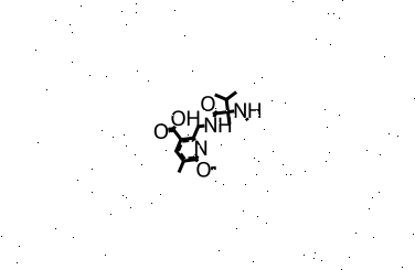 CNC(C)(C(=O)NCc1nc(OC)c(C)cc1C(=O)O)C(C)C